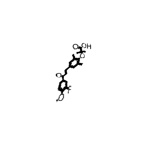 COc1ccc(C(=O)C=Cc2cc(C)c(OC(C)(C)C(=O)O)c(C)c2)cc1F